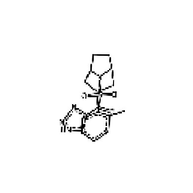 Cc1ccccc1S(=O)(=O)N1C2CCC1CN(C(=O)c1c[nH]nn1)C2